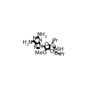 COC1[C@@H](OP(=O)(S)OC(C)C)[C@@H](CC(C)C)O[C@H]1n1cnc2c(N)nc(N)nc21